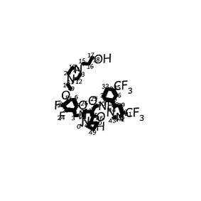 CN1N(Cc2ccc(OCCN3CCN(CCCO)CC3)c(F)c2F)C(=O)C(C(=O)Nc2ccc(C(F)(F)F)cc2-c2cc(C(F)(F)F)ncn2)=C(O)C12CCC2